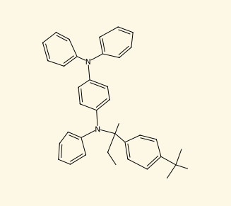 CCC(C)(c1ccc(C(C)(C)C)cc1)N(c1ccccc1)c1ccc(N(c2ccccc2)c2ccccc2)cc1